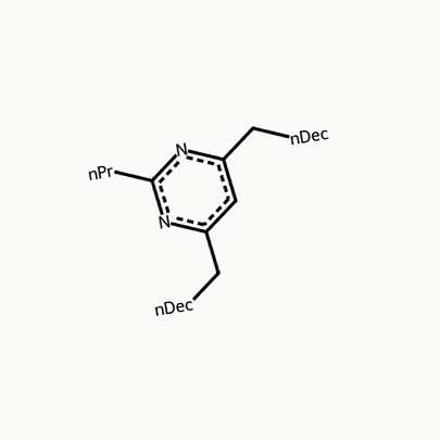 [CH2]CCc1nc(CCCCCCCCCCC)cc(CCCCCCCCCCC)n1